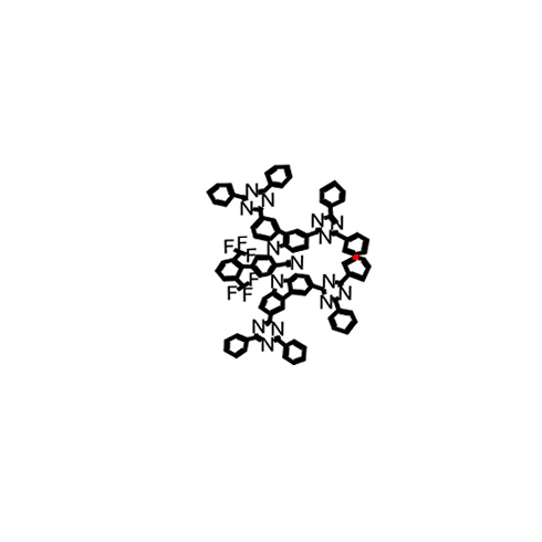 N#Cc1c(-n2c3ccc(-c4nc(-c5ccccc5)nc(-c5ccccc5)n4)cc3c3cc(-c4nc(-c5ccccc5)nc(-c5ccccc5)n4)ccc32)cc(-c2c(C(F)(F)F)cccc2C(F)(F)F)cc1-n1c2ccc(-c3nc(-c4ccccc4)nc(-c4ccccc4)n3)cc2c2cc(-c3nc(-c4ccccc4)nc(-c4ccccc4)n3)ccc21